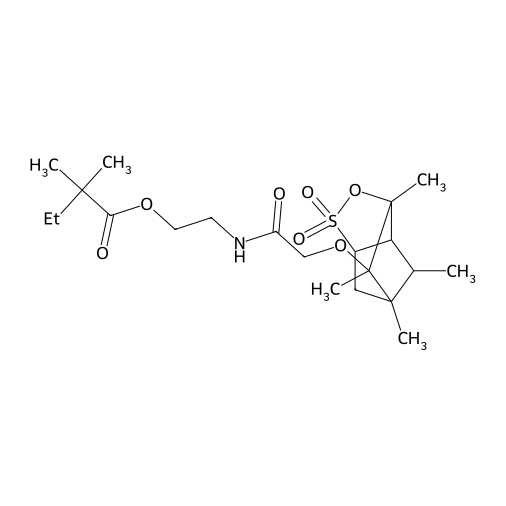 CCC(C)(C)C(=O)OCCNC(=O)COC1(C)C2(C)CC3C(C2C)C1(C)OS3(=O)=O